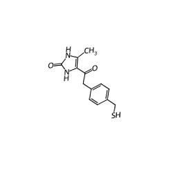 Cc1[nH]c(=O)[nH]c1C(=O)Cc1ccc(CS)cc1